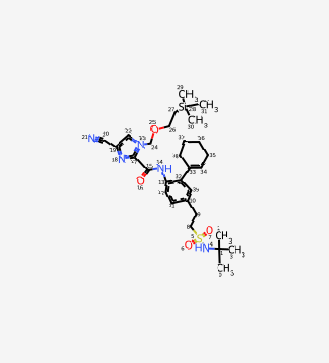 CC(C)(C)NS(=O)(=O)CCc1ccc(NC(=O)c2nc(C#N)cn2COCC[Si](C)(C)C)c(C2=CCCCC2)c1